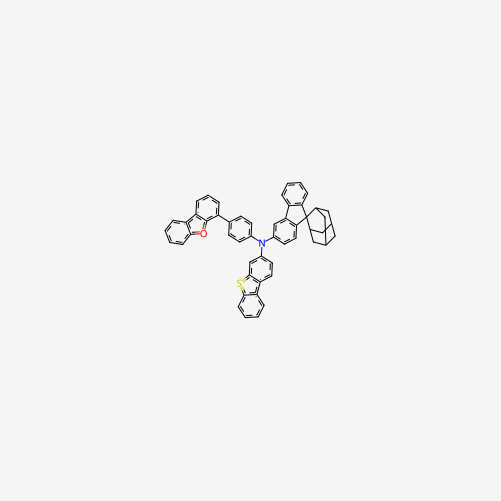 c1ccc2c(c1)-c1cc(N(c3ccc(-c4cccc5c4oc4ccccc45)cc3)c3ccc4c(c3)sc3ccccc34)ccc1C21C2CC3CC(C2)CC1C3